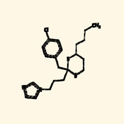 CCCCC1CCSC(CCCn2ccnc2)(Cc2ccc(Cl)cc2)S1